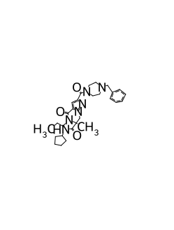 CCCN1C(=O)c2cc(C(=O)N3CCN(Cc4ccccc4)CC3)nn2CC1(C)C(=O)NC1CCCC1